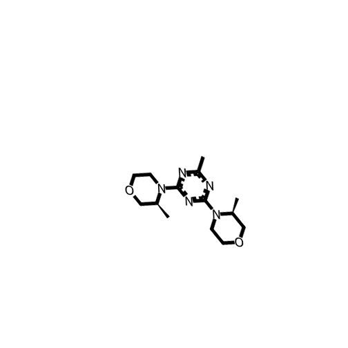 Cc1nc(N2CCOC[C@@H]2C)nc(N2CCOC[C@@H]2C)n1